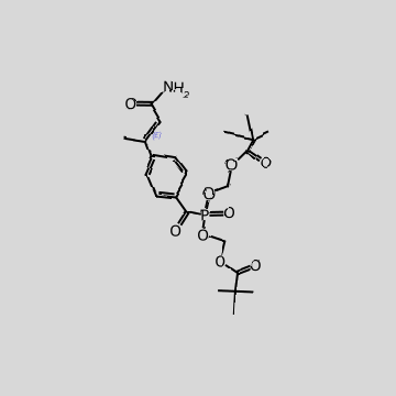 C/C(=C\C(N)=O)c1ccc(C(=O)P(=O)(OCOC(=O)C(C)(C)C)OCOC(=O)C(C)(C)C)cc1